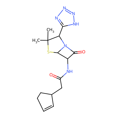 CC1(C)SC2C(NC(=O)CC3C=CCC3)C(=O)N2C1c1nnn[nH]1